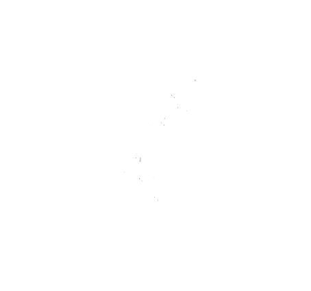 CCCN1CCN(C(=O)NC2=C(CC(=O)N[C@@H]3C(=O)N4[C@@H]3SC(C)(C)[C@@H]4C(=O)O)CC=CC2)C(=O)C1=O